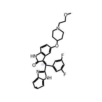 COCCN1CCC(Oc2ccc3c(c2)/C(=C(\c2cc(F)cc(F)c2)c2nc4ccccc4[nH]2)C(=O)N3)CC1